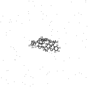 CC(=O)Nc1nc2c(ncn2[C@@H]2O[C@H](CO[Si](C)(C)C(C)(C)C)[C@@H](OC=O)[C@H]2O[Si](C)(C)C(C)(C)C)c(=O)n1C(=O)c1ccccc1